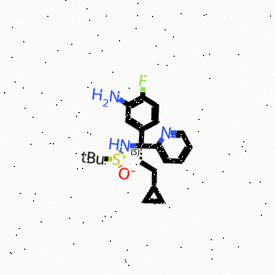 CC(C)(C)[S+]([O-])N[C@@](CCC1CC1)(c1ccc(F)c(N)c1)c1ccccn1